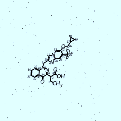 CCC(C(=O)O)c1nn(Cc2cn3cc(OCC4CC4)c(C(F)(F)F)cc3n2)c2ccccc2c1=O